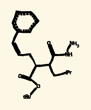 CC(C)CC(C(=O)NN)[C@H](C/C=C\c1ccccc1)C(=O)OC(C)(C)C